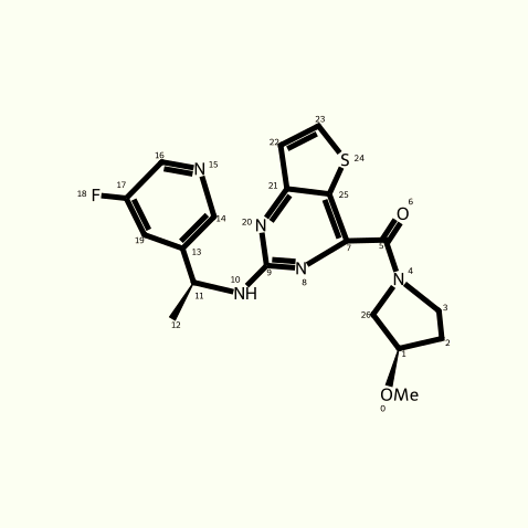 CO[C@@H]1CCN(C(=O)c2nc(N[C@@H](C)c3cncc(F)c3)nc3ccsc23)C1